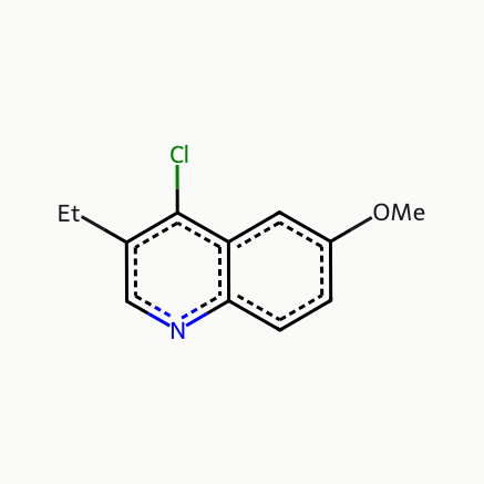 [CH2]Cc1cnc2ccc(OC)cc2c1Cl